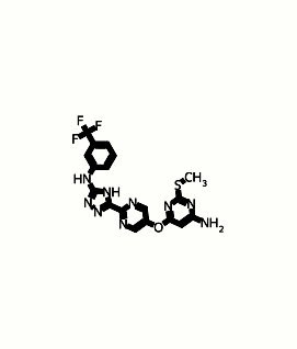 CSc1nc(N)cc(Oc2cnc(-c3nnc(Nc4cccc(C(F)(F)F)c4)[nH]3)nc2)n1